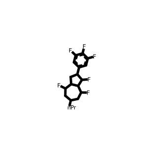 CCCC1CC(F)C2CC(c3cc(F)c(F)c(F)c3)C(F)C2C(F)C1